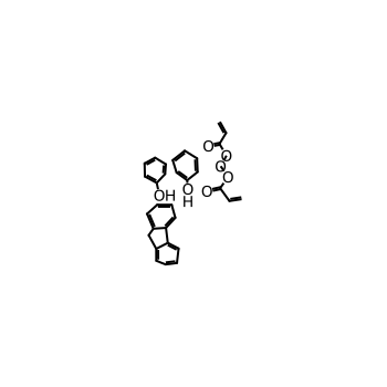 C=CC(=O)OOOC(=O)C=C.Oc1ccccc1.Oc1ccccc1.c1ccc2c(c1)Cc1ccccc1-2